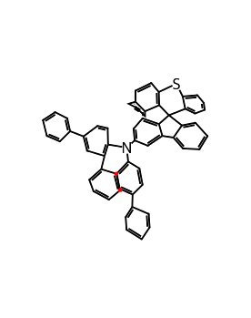 c1ccc(-c2ccc(N(c3ccc4c(c3)-c3ccccc3C43c4ccccc4Sc4ccc5ccccc5c43)c3ccc(-c4ccccc4)cc3-c3ccccc3)cc2)cc1